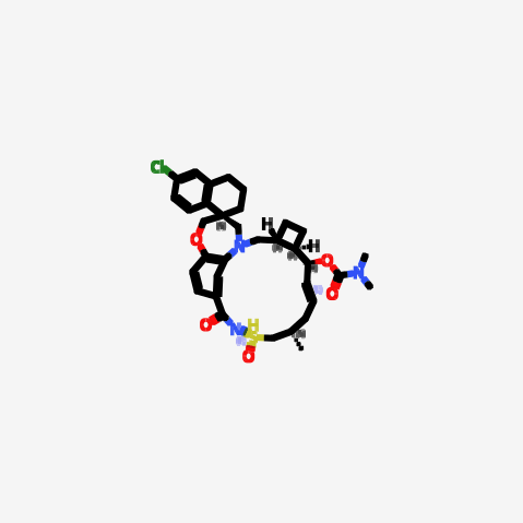 C[C@H]1C/C=C/[C@H](OC(=O)N(C)C)[C@@H]2CC[C@H]2CN2C[C@@]3(CCCc4cc(Cl)ccc43)COc3ccc(cc32)C(=O)/N=[SH](=O)\C1